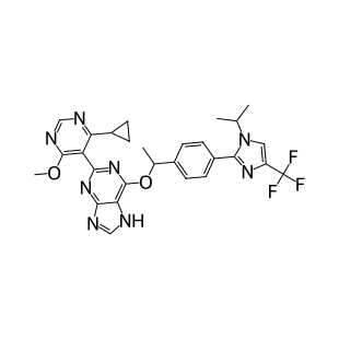 COc1ncnc(C2CC2)c1-c1nc(OC(C)c2ccc(-c3nc(C(F)(F)F)cn3C(C)C)cc2)c2[nH]cnc2n1